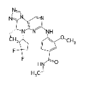 CCNC(=O)c1ccc(Nc2ncc3c(n2)N([C@@H]2CCC(F)(F)C2)[C@H](CC)c2nncn2-3)c(OC)c1